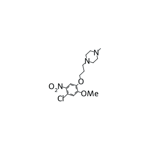 COc1cc(Cl)c([N+](=O)[O-])cc1OCCCN1CCN(C)CC1